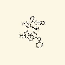 O=CC(=O)c1[nH]cc(-c2c[nH]c3ccccc23)c1Nc1cccc(Oc2ccccc2)c1